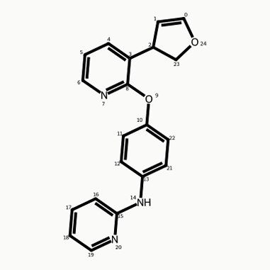 C1=CC(c2cccnc2Oc2ccc(Nc3ccccn3)cc2)CO1